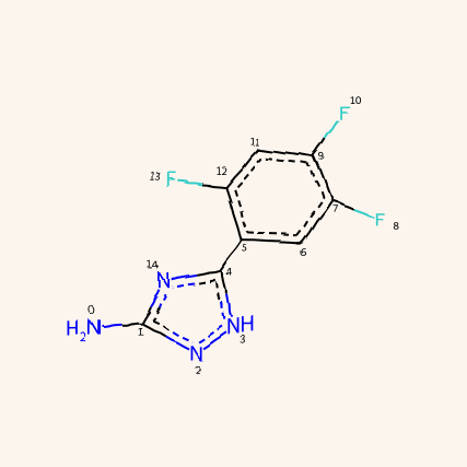 Nc1n[nH]c(-c2cc(F)c(F)cc2F)n1